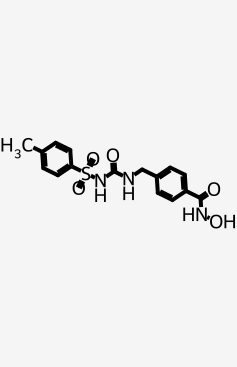 Cc1ccc(S(=O)(=O)NC(=O)NCc2ccc(C(=O)NO)cc2)cc1